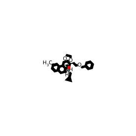 Cc1ccc2c(c1)[C@]13CCN(CC4CC4)[C@H](C2)[C@]1(O)C[C@H](CCOCc1ccccc1)C1(C3)OCCO1